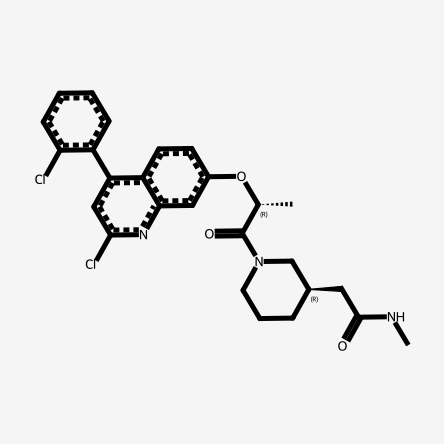 CNC(=O)C[C@H]1CCCN(C(=O)[C@@H](C)Oc2ccc3c(-c4ccccc4Cl)cc(Cl)nc3c2)C1